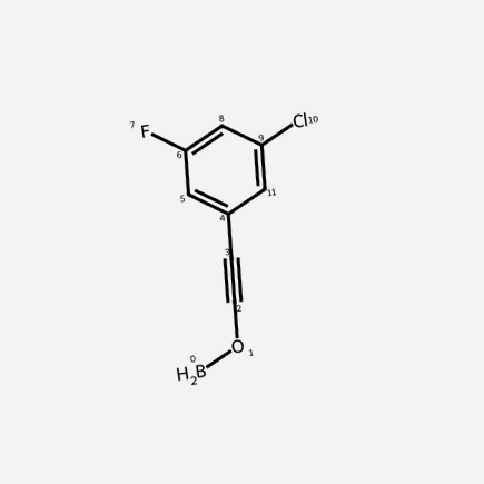 BOC#Cc1cc(F)cc(Cl)c1